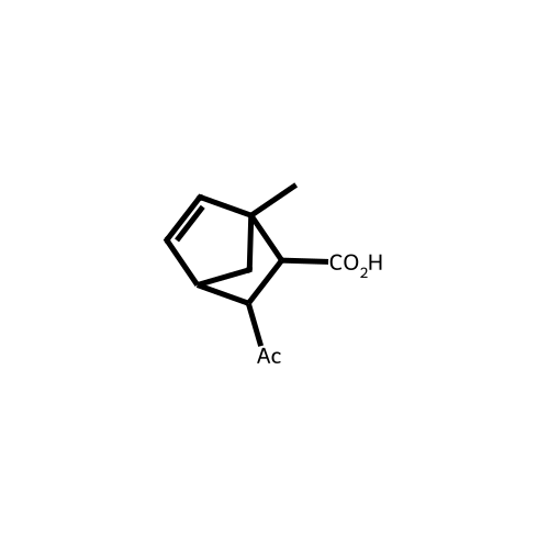 CC(=O)C1C2C=CC(C)(C2)C1C(=O)O